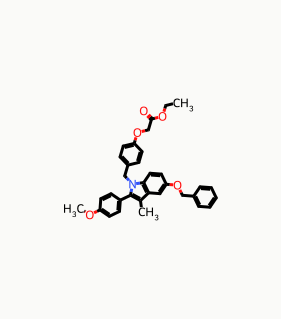 CCOC(=O)COc1ccc(Cn2c(-c3ccc(OC)cc3)c(C)c3cc(OCc4ccccc4)ccc32)cc1